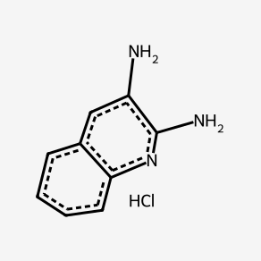 Cl.Nc1cc2ccccc2nc1N